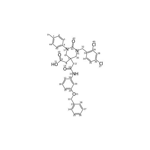 Cc1ccc(N2CC(CC(=O)O)(CC(=O)Nc3cccc(OCc4ccccc4)c3)CN(Cc3ccc(Cl)cc3Cl)C2=O)cc1